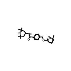 Cc1cccc(OCc2ccc(C(=O)NC3CC(C)(C)NC(C)(C)C3)cc2)n1